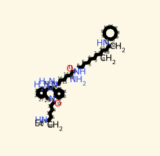 C=C(CCCCCCCNC(=O)C(N)CCCCN(N)/C1=C(\N)c2ccccc2CN(C(=O)CCCCC(=C)NCC)c2ccccc21)CCC(=C)NC1CCCCCCCC1